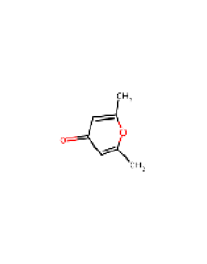 [CH2]c1cc(=O)cc(C)o1